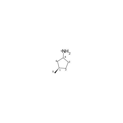 C[C@@H]1CCC(N)C1